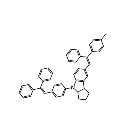 Cc1ccc(/C(=C/c2ccc3c(c2)C2CCCC2N3c2ccc(C=C(c3ccccc3)c3ccccc3)cc2)c2ccccc2)cc1